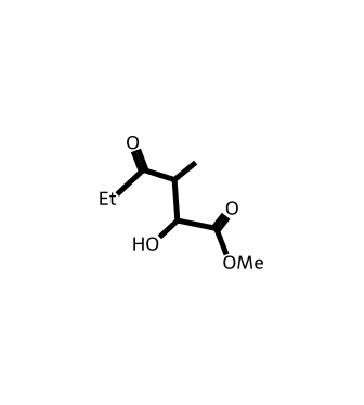 CCC(=O)C(C)C(O)C(=O)OC